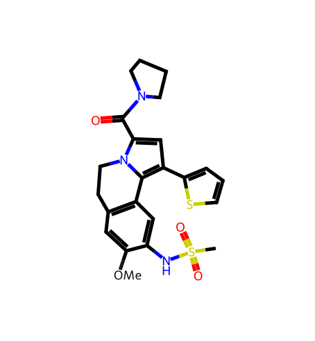 COc1cc2c(cc1NS(C)(=O)=O)-c1c(-c3cccs3)cc(C(=O)N3CCCC3)n1CC2